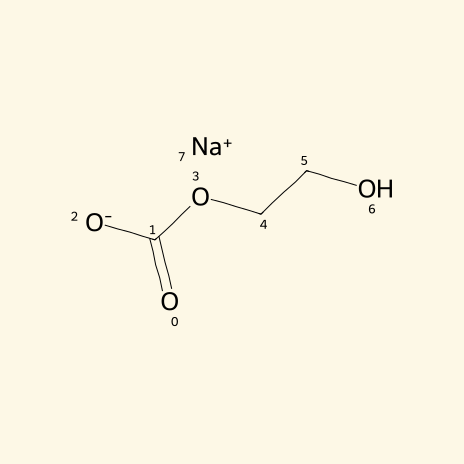 O=C([O-])OCCO.[Na+]